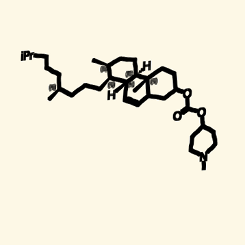 CC(C)CCC[C@H](C)CCC[C@@H]1[C@H]2C=CC3CC(OC(=O)OC4CCN(C)CC4)CC[C@@]3(C)[C@@H]2CC[C@@H]1C